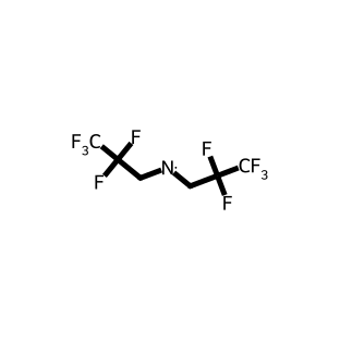 FC(F)(F)C(F)(F)C[N]CC(F)(F)C(F)(F)F